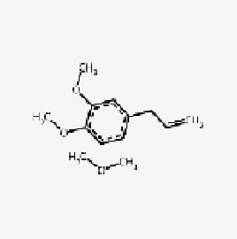 C=CCc1ccc(OC)c(OC)c1.COC